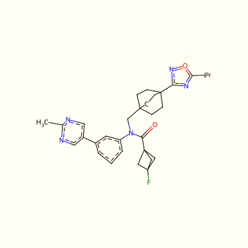 Cc1ncc(-c2cccc(N(CC34CCC(c5noc(C(C)C)n5)(CC3)CC4)C(=O)C34CC(F)(C3)C4)c2)cn1